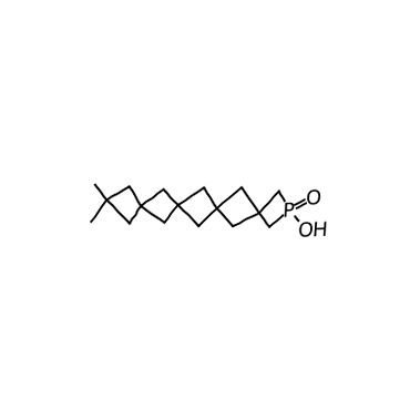 CC1(C)CC2(C1)CC1(C2)CC2(C1)CC1(C2)CP(=O)(O)C1